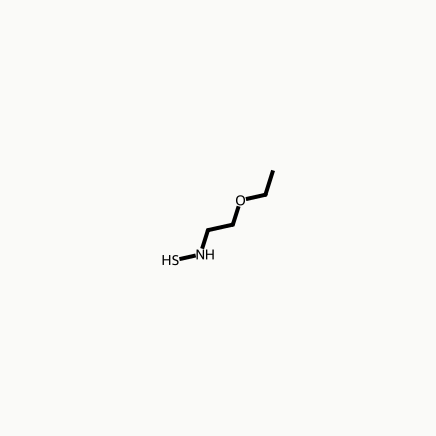 CCOCCNS